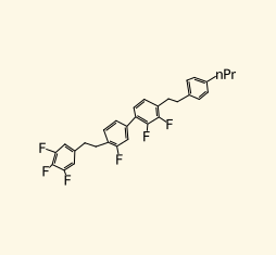 CCCc1ccc(CCc2ccc(-c3ccc(CCc4cc(F)c(F)c(F)c4)c(F)c3)c(F)c2F)cc1